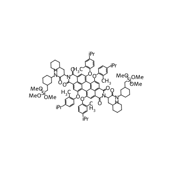 CO[Si](CC1CCCC(NC(=O)C(CC2CCCCC2)N2C(=O)c3cc(Oc4ccc(C(C)C)cc4C)c4c5c(Oc6ccc(C(C)C)cc6C)cc6c7c(cc(Oc8ccc(C(C)C)cc8C)c(c8c(Oc9ccc(C(C)C)cc9C)cc(c3c48)C2=O)c75)C(=O)N(C(CC2CCCCC2)C(=O)NC2CCCC(C[Si](OC)(OC)OC)C2)C6=O)C1)(OC)OC